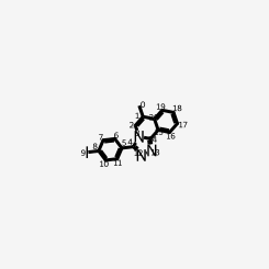 Cc1cn2c(-c3ccc(I)cc3)nnc2c2ccccc12